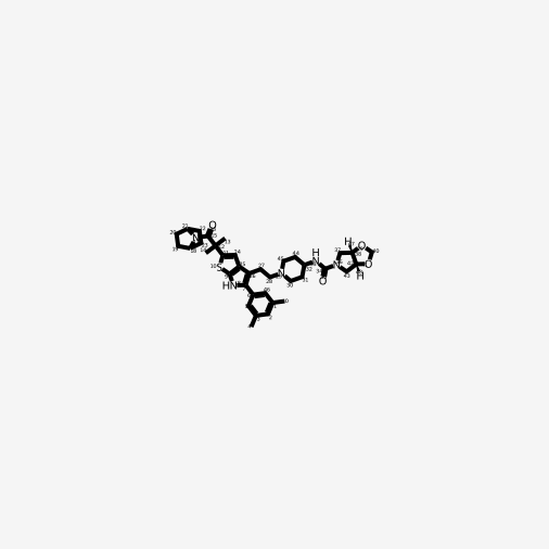 Cc1cc(C)cc(-c2[nH]c3sc(C(C)(C)C(=O)N4C5CCC4CC5)cc3c2CCN2CCC(NC(=O)N3C[C@@H]4OCO[C@@H]4C3)CC2)c1